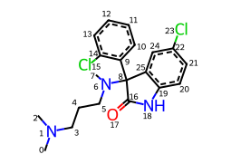 CN(C)CCCN(C)C1(c2ccccc2Cl)C(=O)Nc2ccc(Cl)cc21